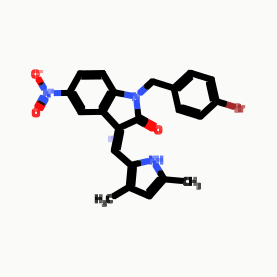 Cc1cc(C)c(/C=C2\C(=O)N(Cc3ccc(Br)cc3)c3ccc([N+](=O)[O-])cc32)[nH]1